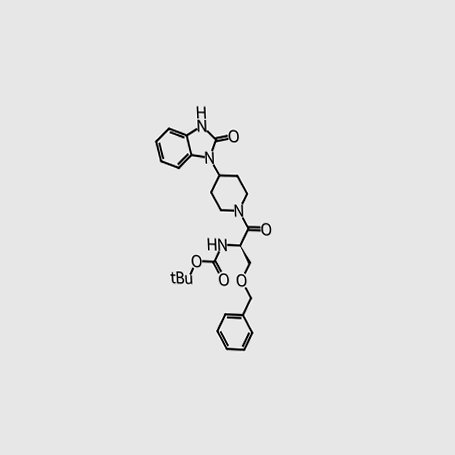 CC(C)(C)OC(=O)N[C@H](COCc1ccccc1)C(=O)N1CCC(n2c(=O)[nH]c3ccccc32)CC1